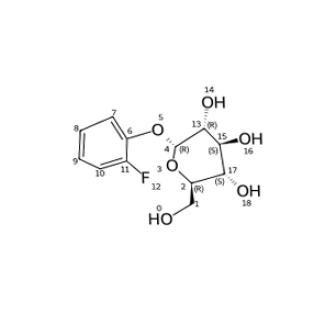 OC[C@H]1O[C@H](Oc2ccccc2F)[C@H](O)[C@@H](O)[C@@H]1O